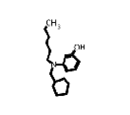 CCCCCCN(CC1CCCCC1)c1cccc(O)c1